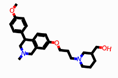 COc1ccc(C2CN(C)Cc3cc(OCCCN4CCCC(CO)C4)ccc32)cc1